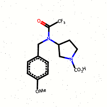 COc1ccc(CN(C(=O)C(F)(F)F)C2CCN(C(=O)O)C2)cc1